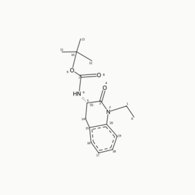 CCN1C(=O)[C@@H](NC(=O)OC(C)(C)C)Cc2ccccc21